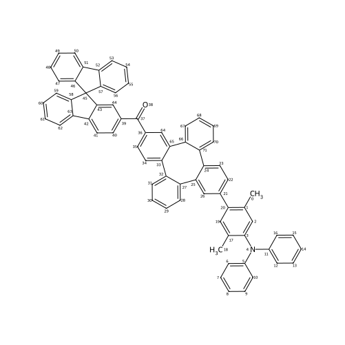 Cc1cc(N(c2ccccc2)c2ccccc2)c(C)cc1-c1ccc2c(c1)-c1ccccc1-c1ccc(C(=O)c3ccc4c(c3)C3(c5ccccc5-c5ccccc53)c3ccccc3-4)cc1-c1ccccc1-2